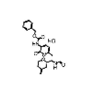 C=C1CCN(n2c(C)ccc(NC(=O)OCc3ccccc3)c2=O)C(CNC=O)C1.Cl